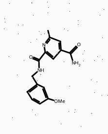 COc1cccc(CNC(=O)c2cc(C(N)=O)cc(C)n2)c1